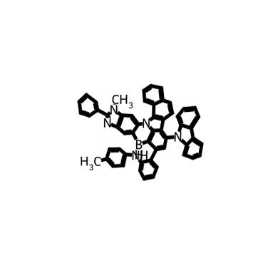 Cc1ccc(Nc2ccccc2-c2cc(-n3c4ccccc4c4ccccc43)c3c4ccc5ccccc5c4n4c3c2Bc2cc3nc(-c5ccccc5)n(C)c3cc2-4)cc1